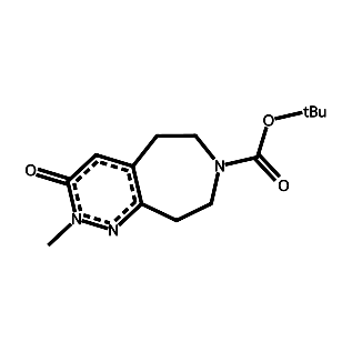 Cn1nc2c(cc1=O)CCN(C(=O)OC(C)(C)C)CC2